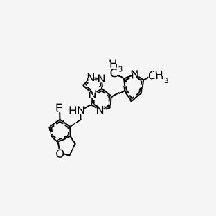 Cc1ccc(-c2cnc(NCc3c(F)ccc4c3CCO4)n3cnnc23)c(C)n1